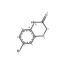 O=C1COc2cc(Br)ccc2N1